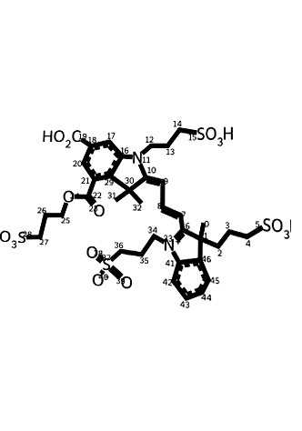 CC1(CCCS(=O)(=O)O)C(/C=C/C=C2/N(CCCS(=O)(=O)O)c3cc(C(=O)O)cc(C(=O)OCCCS(=O)(=O)O)c3C2(C)C)=[N+](CCCS(=O)(=O)[O-])c2ccccc21